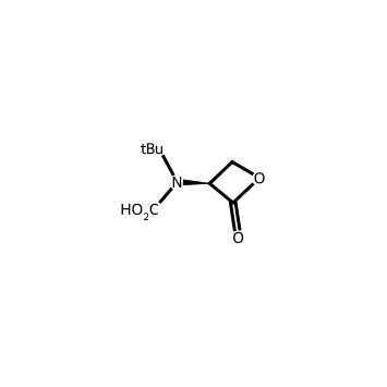 CC(C)(C)N(C(=O)O)[C@H]1COC1=O